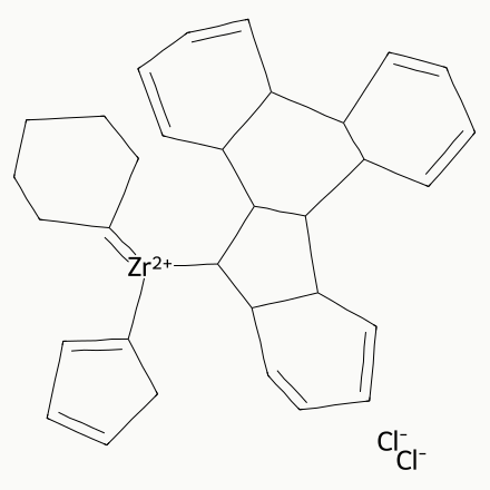 C1=CC[C]([Zr+2](=[C]2CCCCC2)[CH]2C3C=CC=CC3C3C4C=CC=CC4C4C=CC=CC4C32)=C1.[Cl-].[Cl-]